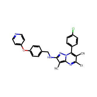 CCc1nc2c(C#N)c(NCc3ccc(Oc4ccncc4)cc3)nn2c(-c2ccc(Cl)cc2)c1C#N